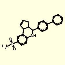 NS(=O)(=O)c1ccc2c(c1)C1C=CCC1C(c1ccc(-c3ccccc3)cc1)N2